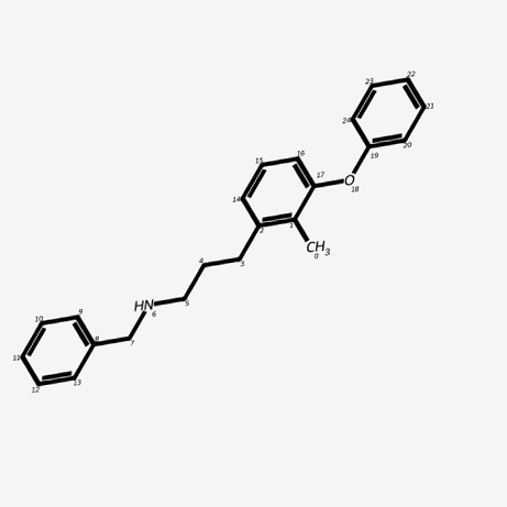 Cc1c(CCCNCc2ccccc2)cccc1Oc1ccccc1